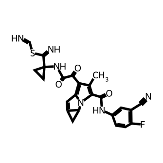 Cc1c(C(=O)C(=O)NC2(C(=N)SC=N)CC2)c2n(c1C(=O)Nc1ccc(F)c(C#N)c1)C1CC1=C2